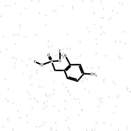 Cc1ccc(CP(=O)(OF)OF)c(N)c1